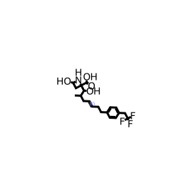 CC(C/C=C/CCc1ccc(CC(F)(F)F)cc1)C(O)C1(C(=O)O)CC(O)N1